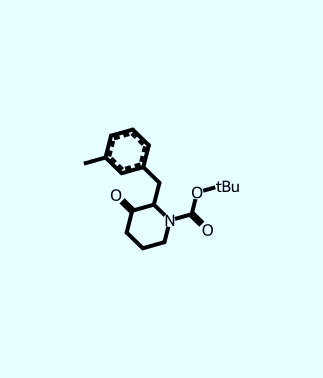 Cc1cccc(CC2C(=O)CCCN2C(=O)OC(C)(C)C)c1